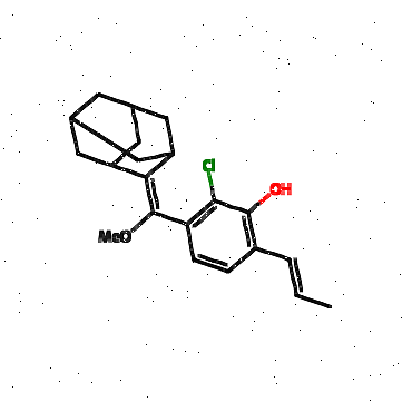 C/C=C/c1ccc(C(OC)=C2C3CC4CC(C3)CC2C4)c(Cl)c1O